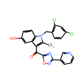 O=C(c1nc(-c2cccnc2)no1)c1c(C(F)(F)F)n(Cc2ccc(Cl)cc2Cl)c2ccc(O)cc12